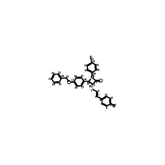 O=C1[C@H](C/C=C/c2ccc(F)cc2)[C@@H](c2ccc(OCc3ccccc3)cc2)N1c1ccc(F)cc1